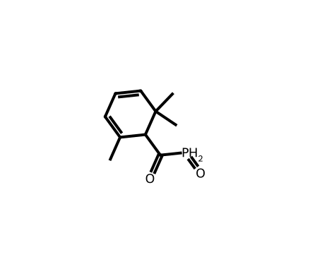 CC1=CC=CC(C)(C)C1C(=O)[PH2]=O